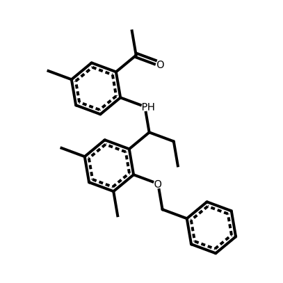 CCC(Pc1ccc(C)cc1C(C)=O)c1cc(C)cc(C)c1OCc1ccccc1